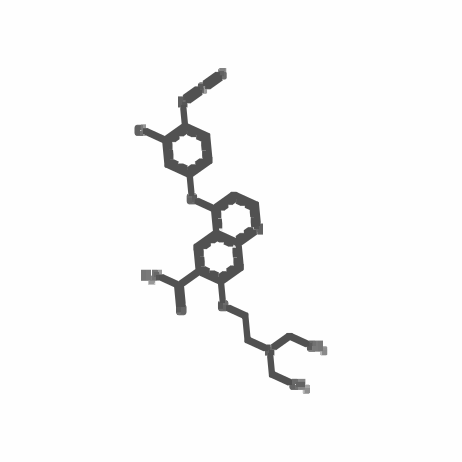 CCN(CC)CCOc1cc2nccc(Oc3ccc(N=C=S)c(Cl)c3)c2cc1C(N)=O